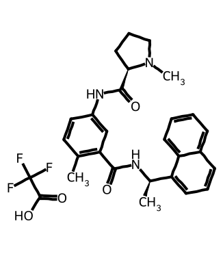 Cc1ccc(NC(=O)[C@H]2CCCN2C)cc1C(=O)N[C@H](C)c1cccc2ccccc12.O=C(O)C(F)(F)F